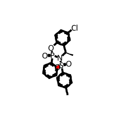 Cc1ccc(S(=O)(=O)N2[C@H](C)c3cc(Cl)ccc3OP2(=O)c2ccccc2)cc1